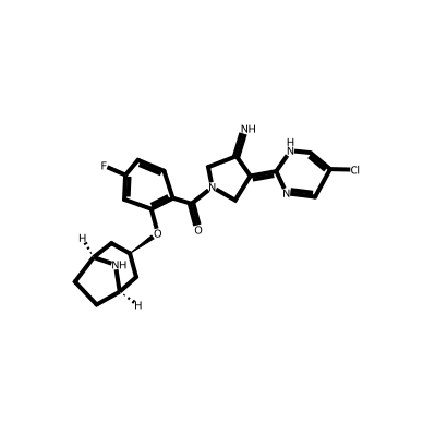 N=C1CN(C(=O)c2ccc(F)cc2O[C@H]2C[C@H]3CC[C@@H](C2)N3)C/C1=C1\N=CC(Cl)=CN1